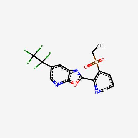 CCS(=O)(=O)c1cccnc1-c1nc2cc(C(F)(F)C(F)(F)F)cnc2o1